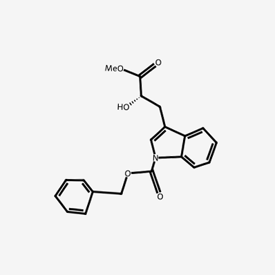 COC(=O)[C@@H](O)Cc1cn(C(=O)OCc2ccccc2)c2ccccc12